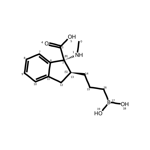 CN[C@@]1(C(=O)O)c2ccccc2C[C@@H]1CCCB(O)O